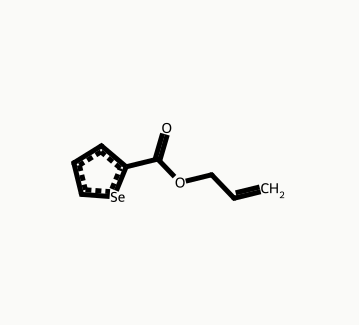 C=CCOC(=O)c1ccc[se]1